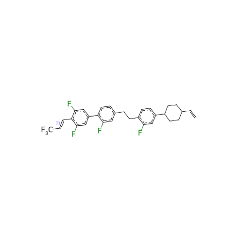 C=CC1CCC(c2ccc(CCc3ccc(-c4cc(F)c(/C=C/C(F)(F)F)c(F)c4)c(F)c3)c(F)c2)CC1